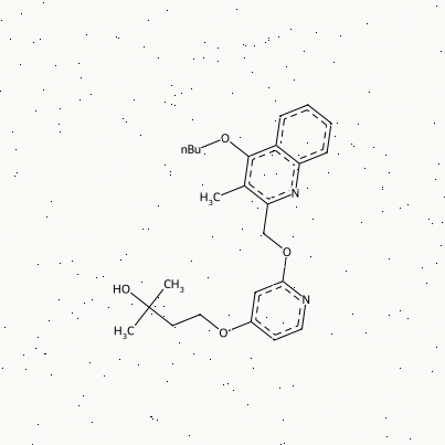 CCCCOc1c(C)c(COc2cc(OCCC(C)(C)O)ccn2)nc2ccccc12